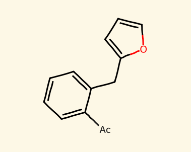 CC(=O)c1ccccc1Cc1ccco1